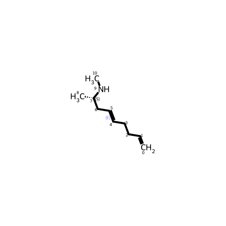 C=CCC/C=C/C[C@H](C)NC